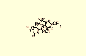 C=CCc1c(C(F)(F)F)ncn(-c2c(Cl)cc(C(F)(F)F)cc2C#N)c1=O